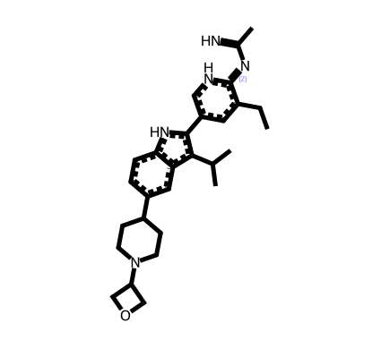 CCc1cc(-c2[nH]c3ccc(C4CCN(C5COC5)CC4)cc3c2C(C)C)c[nH]/c1=N\C(C)=N